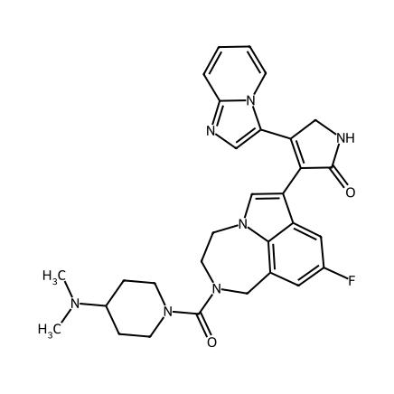 CN(C)C1CCN(C(=O)N2CCn3cc(C4=C(c5cnc6ccccn56)CNC4=O)c4cc(F)cc(c43)C2)CC1